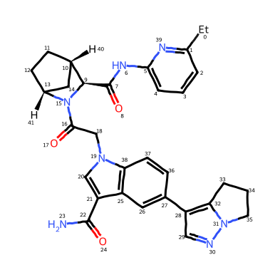 CCc1cccc(NC(=O)[C@@H]2[C@H]3CC[C@H](C3)N2C(=O)Cn2cc(C(N)=O)c3cc(-c4cnn5c4CCC5)ccc32)n1